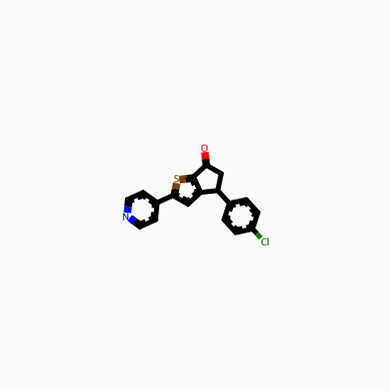 O=C1CC(c2ccc(Cl)cc2)c2cc(-c3ccncc3)sc21